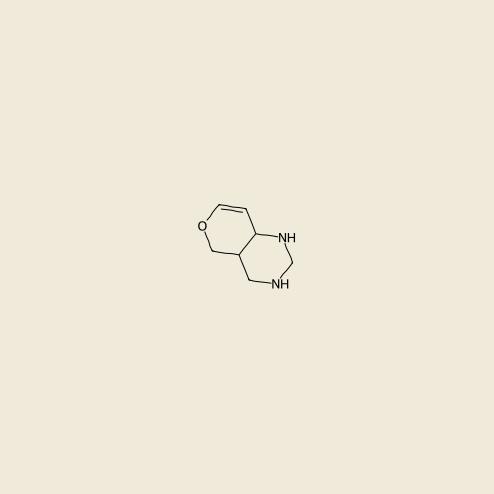 C1=CC2NCNCC2CO1